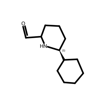 O=CC1CCC[C@@H](C2CCCCC2)N1